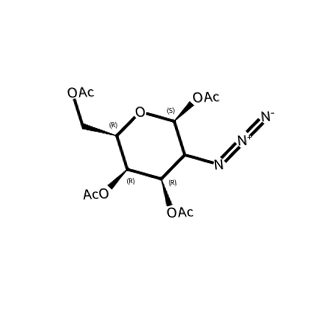 CC(=O)OC[C@H]1O[C@@H](OC(C)=O)C(N=[N+]=[N-])[C@@H](OC(C)=O)[C@H]1OC(C)=O